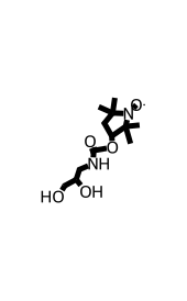 CC1(C)CC(OC(=O)NCC(O)CO)C(C)(C)N1[O]